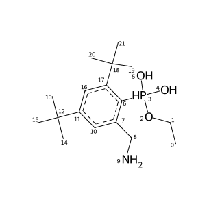 CCO[PH](O)(O)c1c(CN)cc(C(C)(C)C)cc1C(C)(C)C